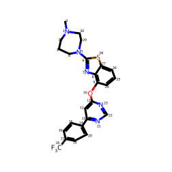 CN1CCCN(c2nc3c(Oc4cc(-c5ccc(C(F)(F)F)cc5)ncn4)cccc3s2)CC1